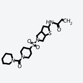 C=CC(=O)NC1CC2CN(S(=O)(=O)C3CCN(C(=O)N4CCCCC4)CC3)CC2S1